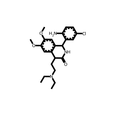 CCN(CC)CCC1C(=O)NC(c2cc(Cl)ccc2N)c2cc(OC)c(OC)cc21